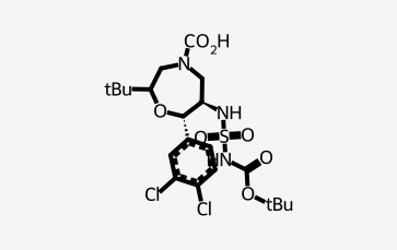 CC(C)(C)OC(=O)NS(=O)(=O)N[C@@H]1CN(C(=O)O)CC(C(C)(C)C)O[C@H]1c1ccc(Cl)c(Cl)c1